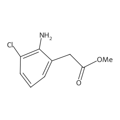 COC(=O)Cc1cccc(Cl)c1N